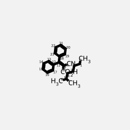 CCCCCC(C)C.N#CC(C(=O)O)=C(c1ccccc1)c1ccccc1